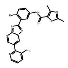 Cc1nc(C)c(C(=O)Nc2ccc(F)c(-c3nc4ncc(-c5ncccc5C(F)(F)F)cn4n3)c2)o1